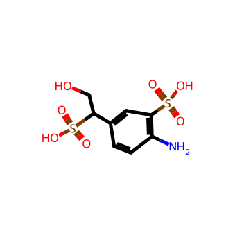 Nc1ccc(C(CO)S(=O)(=O)O)cc1S(=O)(=O)O